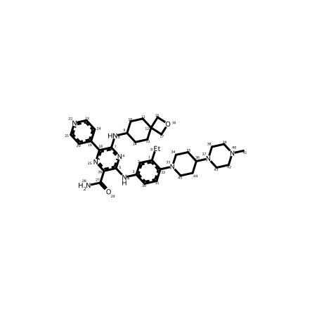 CCc1cc(Nc2nc(NC3CCC4(CC3)COC4)c(-c3ccncc3)nc2C(N)=O)ccc1N1CCC(N2CCN(C)CC2)CC1